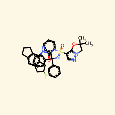 CC1(C)Cn2ncc([S@](=O)(=NC(c3ccccc3)(c3ccccc3)c3ccccc3)NC(=O)Nc3c4c(cc5c3C[C@@H](F)C5)CCC4)c2O1